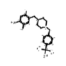 Nc1cc(Cl)c(CC2CCN(Cc3ccc(C(O)(C(F)(F)F)C(F)(F)F)cc3)CC2)cc1F